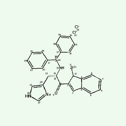 O=C(C1=Cc2ccccc2[CH]1[Zr+2])[C@H](Cc1c[nH]cn1)N[SiH](c1ccccc1)c1ccccc1.[Cl-].[Cl-]